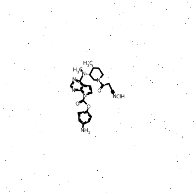 C[C@@H]1CCN(C(=O)CC#N)C[C@@H]1N(C)c1ncnc2c1ccn2C(=O)Oc1ccc(N)cc1.Cl